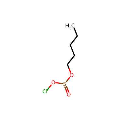 CCCCCOS(=O)OCl